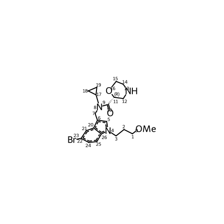 COCCCn1cc(CN(C(=O)[C@H]2CNCCO2)C2CC2)c2cc(Br)ccc21